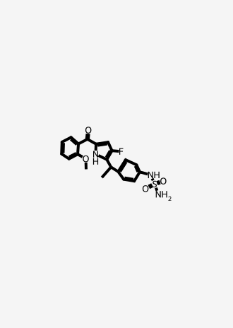 COc1ccccc1C(=O)c1cc(F)c(C(C)c2ccc(NS(N)(=O)=O)cc2)[nH]1